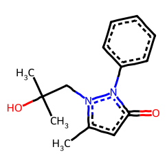 Cc1cc(=O)n(-c2ccccc2)n1CC(C)(C)O